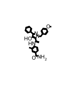 C=C(Nc1ccc(C(N)=O)cc1C)c1c(O)c(-c2ccccc2)nn1Cc1ccc(OC)cc1